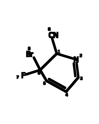 N#CC1N=CC=CC1(F)Br